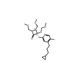 COCO[C@@]1(Cc2cc(CCCC3CC3)c(C)cn2)C(=O)N(COC)[C@H]1CSC